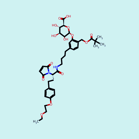 CCOCCOc1ccc(CC[C@@H](C(=O)NCCCCc2ccc(COC(=O)C(C)(C)C)c(O[C@@H]3O[C@H](C(=O)O)[C@@H](O)[C@H](O)[C@H]3O)c2)N2C(=O)C=CC2=O)cc1